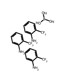 Nc1ccccc1C(F)(F)F.Nc1ccccc1C(F)(F)F.Nc1ccccc1C(F)(F)F.OB(O)O